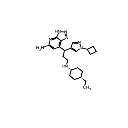 CC[C@H]1CC[C@H](NCCC(c2cnn(C3CCC3)c2)c2cc(N)nc3[nH]nnc23)CC1